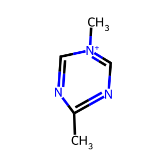 Cc1nc[n+](C)cn1